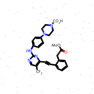 COC(=O)Cc1ccccc1C#Cc1nc(Nc2ccc(N3CCN(C(=O)O)CC3)cc2)ncc1C(F)(F)F